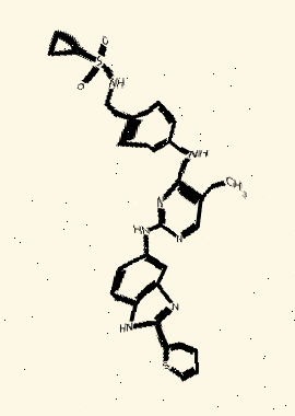 Cc1cnc(Nc2ccc3[nH]c(-c4cccs4)nc3c2)nc1Nc1ccc(CNS(=O)(=O)C2CC2)cc1